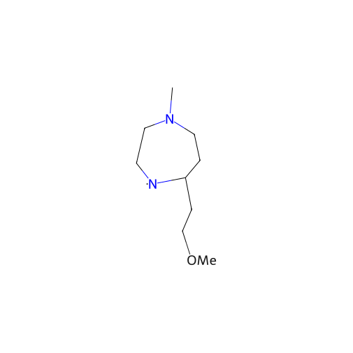 COCCC1CCN(C)CC[N]1